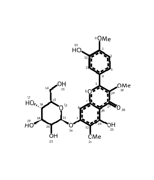 COc1ccc(-c2oc3cc(O[C@@H]4OC(CO)[C@@H](O)[C@H](O)C4O)c(OC)c(O)c3c(=O)c2OC)cc1O